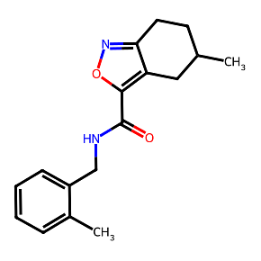 Cc1ccccc1CNC(=O)c1onc2c1CC(C)CC2